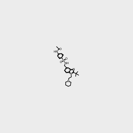 CC(=O)Nc1ccc(S(=O)(=O)NCc2ccc3c(c2)nc(C(C)(C)C)n3CCN2CCCCC2)cc1